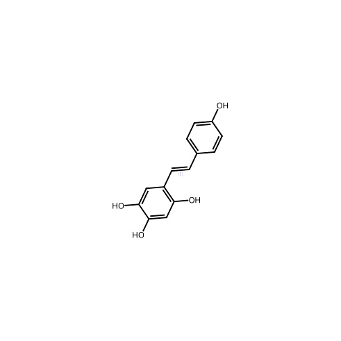 Oc1ccc(/C=C/c2cc(O)c(O)cc2O)cc1